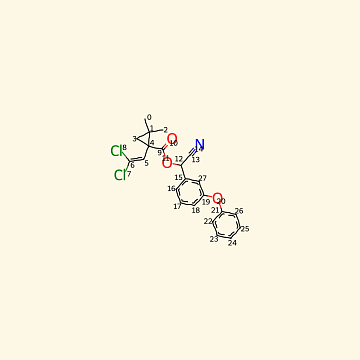 CC1(C)CC1(C=C(Cl)Cl)C(=O)OC(C#N)c1cccc(Oc2ccccc2)c1